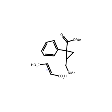 CNCC1CC1(C(=O)OC)c1ccccc1.O=C(O)/C=C/C(=O)O